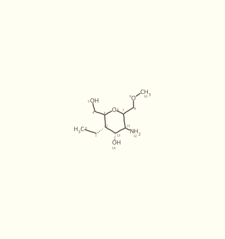 CC[C@@H]1C(CO)OC(COC)C(N)[C@@H]1O